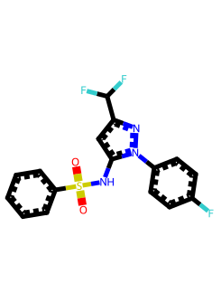 O=S(=O)(Nc1cc(C(F)F)nn1-c1ccc(F)cc1)c1ccccc1